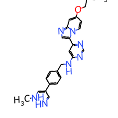 CCCOc1ccn2c(-c3cc(NCc4ccc(/C(C=N)=C/NC)cc4)ncn3)cnc2c1